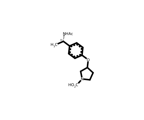 CC(=O)N[C@@H](C)c1ccc(OC2CCN(C(=O)O)C2)cc1